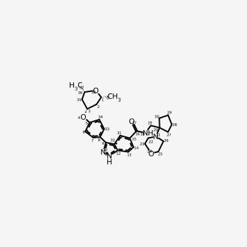 C[C@@H]1C[C@H](Oc2ccc(-c3n[nH]c4ccc(C(=O)NCC5(N6CCOCC6)CCCC5)cc34)cc2)C[C@H](C)O1